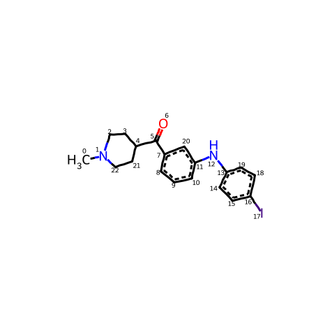 CN1CCC(C(=O)c2cccc(Nc3ccc(I)cc3)c2)CC1